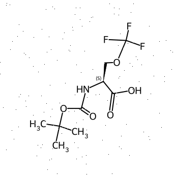 CC(C)(C)OC(=O)N[C@@H](COC(F)(F)F)C(=O)O